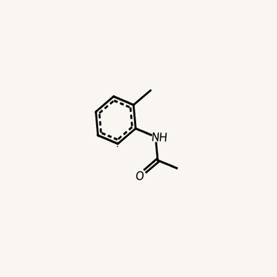 CC(=O)Nc1[c]cccc1C